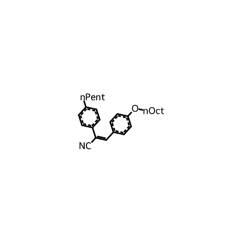 CCCCCCCCOc1ccc(C=C(C#N)c2ccc(CCCCC)cc2)cc1